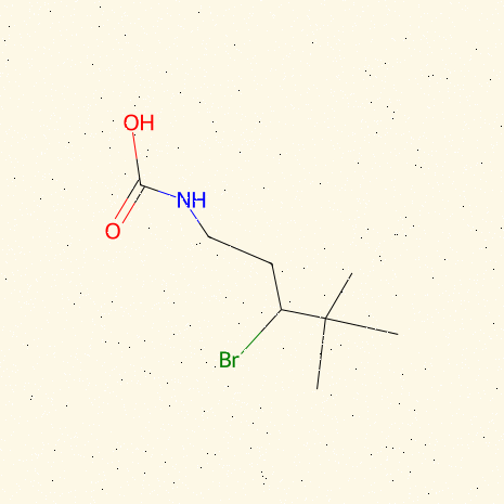 CC(C)(C)C(Br)CCNC(=O)O